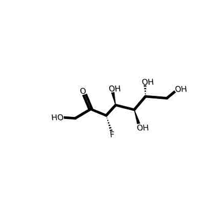 O=C(CO)[C@@H](F)[C@@H](O)[C@H](O)[C@H](O)CO